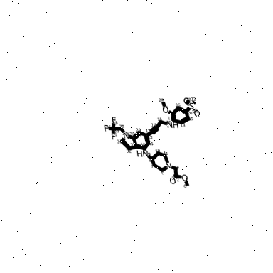 COC(=O)CN1CCC(Nc2cc(C#CCNc3ccc(S(C)(=O)=O)cc3OC)cc3c2ccn3CC(F)(F)F)CC1